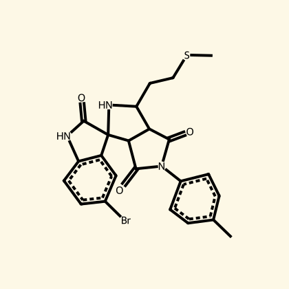 CSCCC1NC2(C(=O)Nc3ccc(Br)cc32)C2C(=O)N(c3ccc(C)cc3)C(=O)C12